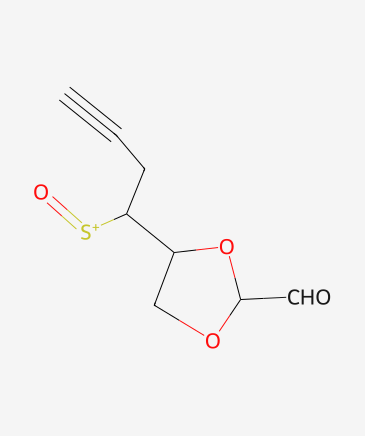 C#CCC([S+]=O)C1COC(C=O)O1